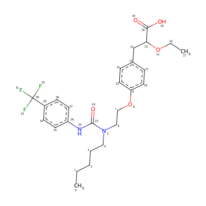 CCCCCN(CCOc1ccc(CC(OCC)C(=O)O)cc1)C(=O)Nc1ccc(C(F)(F)F)cc1